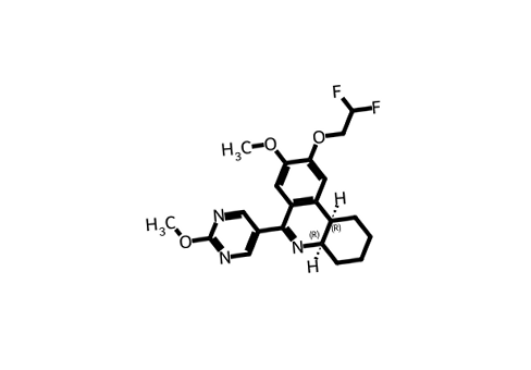 COc1ncc(C2=N[C@@H]3CCCC[C@@H]3c3cc(OCC(F)F)c(OC)cc32)cn1